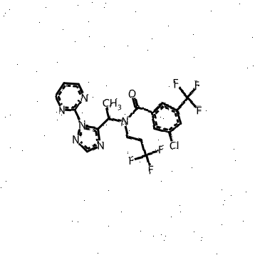 CC(c1ncnn1-c1ncccn1)N(CCC(F)(F)F)C(=O)c1cc(Cl)cc(C(F)(F)F)c1